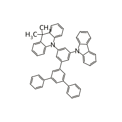 CC1(C)c2ccccc2N(c2cc(-c3cc(-c4ccccc4)cc(-c4ccccc4)c3)cc(-n3c4ccccc4c4ccccc43)c2)c2ccccc21